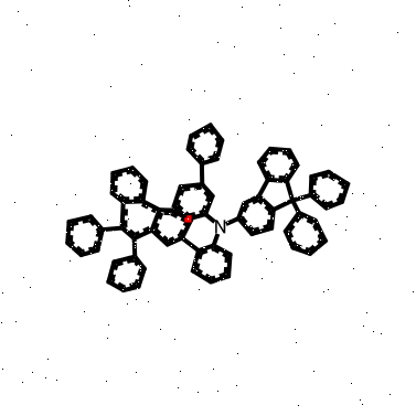 c1ccc(-c2cccc(N(c3ccc4c(c3)-c3ccccc3C4(c3ccccc3)c3ccccc3)c3ccccc3-c3ccc4c(c3)c(-c3ccccc3)c(-c3ccccc3)c3ccccc34)c2)cc1